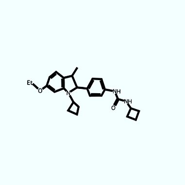 CCOc1ccc2c(c1)N(C1CCC1)C(c1ccc(NC(=O)NC3CCC3)cc1)C2C